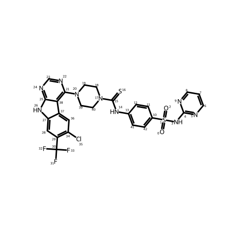 O=S(=O)(Nc1ncccn1)c1ccc(NC(=S)N2CCN(c3ncnc4[nH]c5cc(C(F)(F)F)c(Cl)cc5c34)CC2)cc1